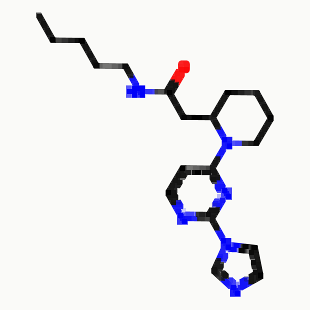 CCCCCNC(=O)CC1CCCCN1c1ccnc(-n2ccnc2)n1